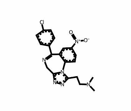 CN(C)CCc1nnc2n1-c1ccc([N+](=O)[O-])cc1C(c1ccc(Cl)cc1)=NC2